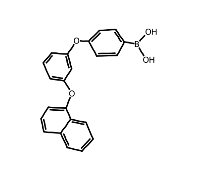 OB(O)c1ccc(Oc2cccc(Oc3cccc4ccccc34)c2)cc1